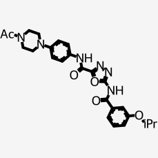 CC(=O)N1CCN(c2ccc(NC(=O)c3nnc(NC(=O)c4cccc(OC(C)C)c4)o3)cc2)CC1